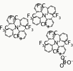 FC(F)(F)c1ccccc1[N+](c1ccccc1C(F)(F)F)(c1ccccc1C(F)(F)F)c1ccccc1C(F)(F)F.FC(F)(F)c1ccccc1[N+](c1ccccc1C(F)(F)F)(c1ccccc1C(F)(F)F)c1ccccc1C(F)(F)F.FC(F)(F)c1ccccc1[N+](c1ccccc1C(F)(F)F)(c1ccccc1C(F)(F)F)c1ccccc1C(F)(F)F.[O-]B([O-])[O-]